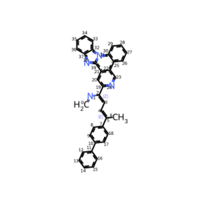 C=N/C(=C\C=C(/C)c1ccc(-c2ccccc2)cc1)c1cc2c(cn1)c1ccccc1n1c3ccccc3nc21